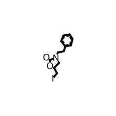 O=C1OC(CI)CN1CCc1ccccc1